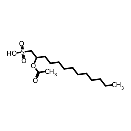 CCCCCCCCCCCC(CS(=O)(=O)O)OC(C)=O